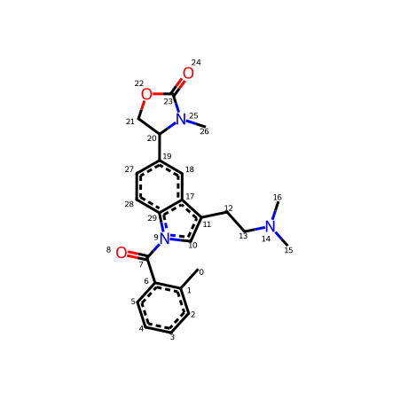 Cc1ccccc1C(=O)n1cc(CCN(C)C)c2cc(C3COC(=O)N3C)ccc21